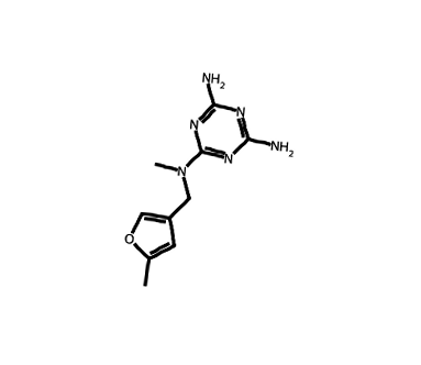 Cc1cc(CN(C)c2nc(N)nc(N)n2)co1